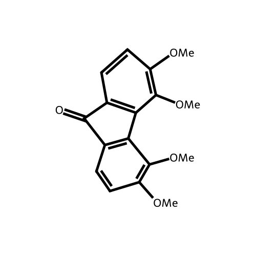 COc1ccc2c(c1OC)-c1c(ccc(OC)c1OC)C2=O